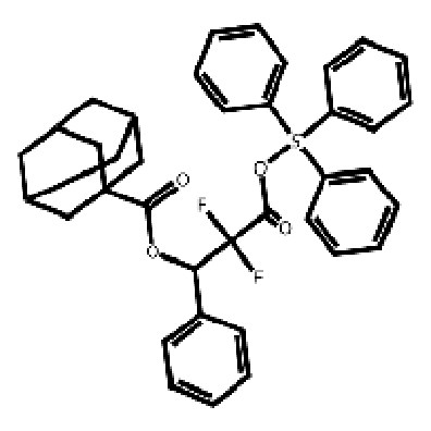 O=C(OC(c1ccccc1)C(F)(F)C(=O)OS(c1ccccc1)(c1ccccc1)c1ccccc1)C12CC3CC(CC(C3)C1)C2